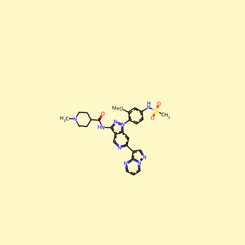 COc1cc(NS(C)(=O)=O)ccc1-n1nc(NC(=O)C2CCN(C)CC2)c2cnc(-c3cnn4cccnc34)cc21